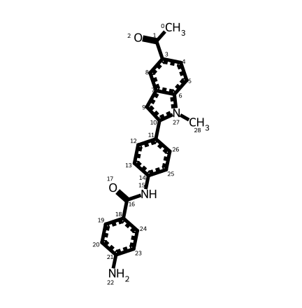 CC(=O)c1ccc2c(c1)cc(-c1ccc(NC(=O)c3ccc(N)cc3)cc1)n2C